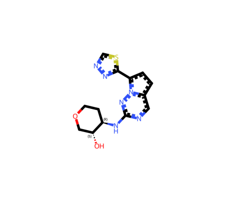 O[C@@H]1COCC[C@H]1Nc1ncc2ccc(-c3nncs3)n2n1